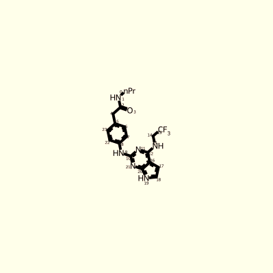 CCCNC(=O)Cc1ccc(Nc2nc(NCC(F)(F)F)c3cc[nH]c3n2)cc1